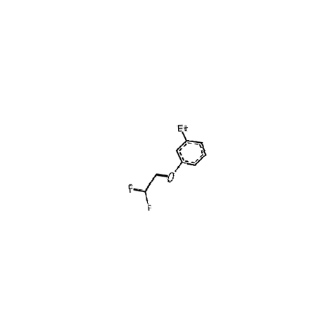 CCc1cccc(OCC(F)F)c1